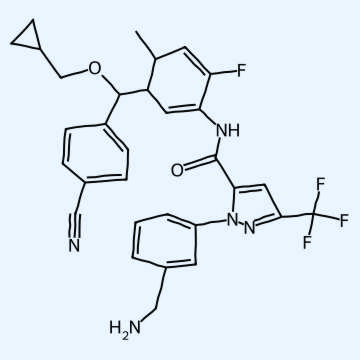 CC1C=C(F)C(NC(=O)c2cc(C(F)(F)F)nn2-c2cccc(CN)c2)=CC1C(OCC1CC1)c1ccc(C#N)cc1